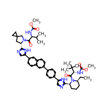 CC[C@H]1CCC[C@@H](c2ncc(-c3ccc(-c4ccc5cc(-c6cnc([C@@H]7CC8(CC8)CN7C(=O)[C@@H](NC(=O)OC)C(C)C)[nH]6)ccc5c4)cc3)[nH]2)N1C(=O)[C@@H](NC(=O)OC)C(C)(C)C